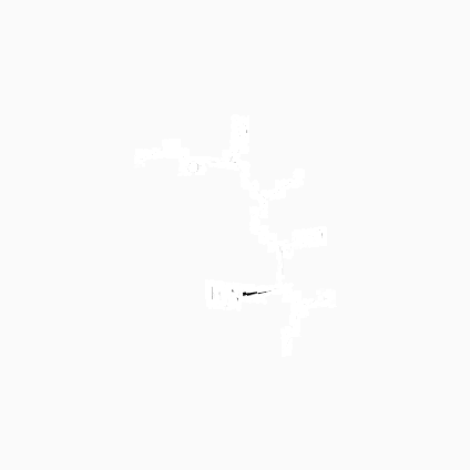 CCOC(=O)C(C)CC(=O)[C@H](N)C(C)C